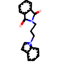 O=C1c2ccccc2C(=O)N1CCCn1ccc2ccccc21